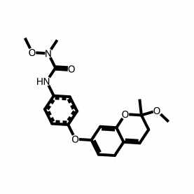 CON(C)C(=O)Nc1ccc(OC2=CCC3=CCC(C)(OC)OC3=C2)cc1